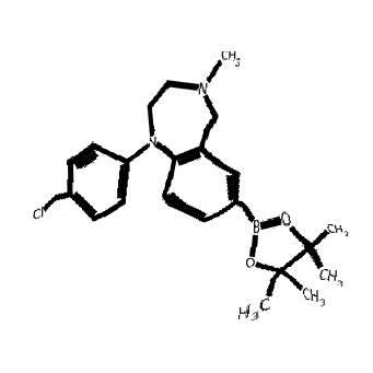 CN1CCN(c2ccc(Cl)cc2)c2ccc(B3OC(C)(C)C(C)(C)O3)cc2C1